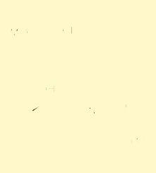 COc1ccc([C@@H]2CN(C(=O)C(C)OC(C)=O)C[C@@]2(C)[C@@H](C)O)cc1O